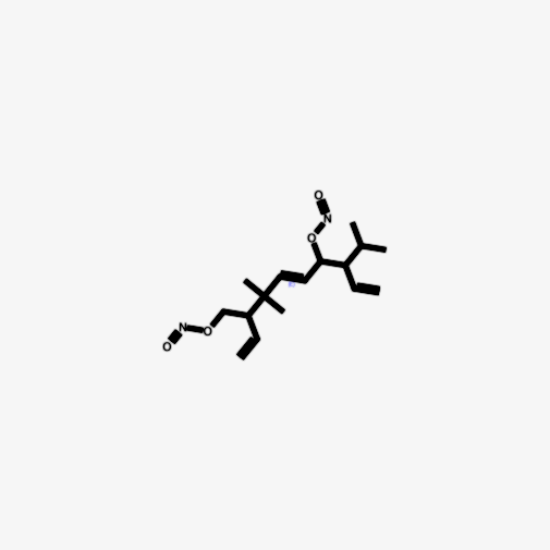 C=CC(C(C)C)C(/C=C/C(C)(C)C(C=C)CON=O)ON=O